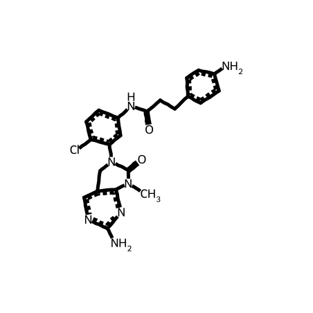 CN1C(=O)N(c2cc(NC(=O)CCc3ccc(N)cc3)ccc2Cl)Cc2cnc(N)nc21